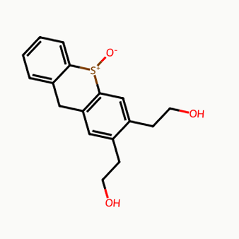 [O-][S+]1c2ccccc2Cc2cc(CCO)c(CCO)cc21